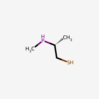 CP[C@H](C)CS